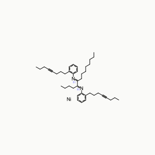 CCCC#CCCCc1ccccc1/N=C(CCCC)/C(CCCCCCCC)=N/c1ccccc1CCCC#CCCC.[Ni]